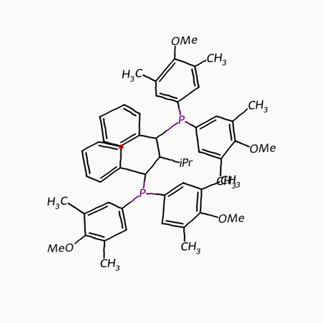 COc1c(C)cc(P(c2cc(C)c(OC)c(C)c2)C(c2ccccc2)C(C(C)C)C(c2ccccc2)P(c2cc(C)c(OC)c(C)c2)c2cc(C)c(OC)c(C)c2)cc1C